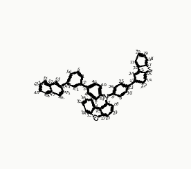 c1cc(-c2ccc(N(c3ccc(-c4ccc5sc6ccccc6c5c4)cc3)c3cccc4oc5ccccc5c34)cc2)cc(-c2ccc3ccccc3c2)c1